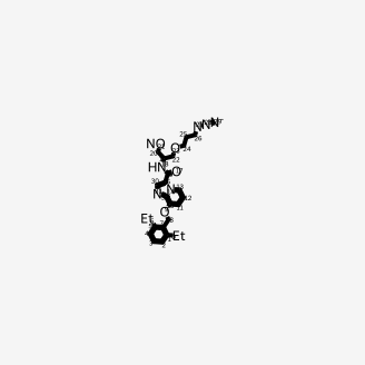 CCc1cccc(CC)c1COc1cccn2c(C(=O)NC(CN=O)COCCCN=[N+]=[N-])cnc12